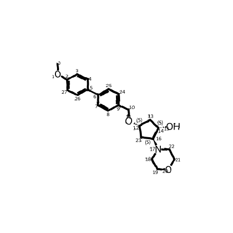 COc1ccc(-c2ccc(CO[C@@H]3C[C@H](O)[C@@H](N4CCOCC4)C3)cc2)cc1